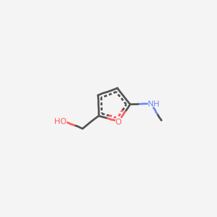 CNc1ccc(CO)o1